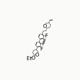 C=CC1CCC(CCc2ccc(-c3ccc(C4CCC(OCC)OC4)c(F)c3F)c(F)c2F)OC1